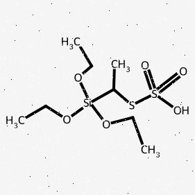 CCO[Si](OCC)(OCC)C(C)SS(=O)(=O)O